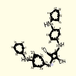 O=c1c(Nc2ccc(Nc3ccccc3)cc2)c(O)/c1=N/c1ccc(Nc2ccccc2)cc1